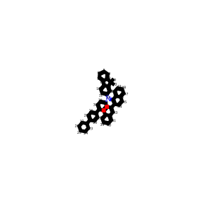 CC1(C)c2ccccc2-c2ccc(N(c3ccc(-c4ccc(C5CCCCC5)cc4)cc3)c3c(-c4ccc5ccccc5c4)ccc4ccccc34)cc21